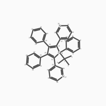 CC(C)(C)[Si]1(c2ccccc2)C(c2cccnc2)=C(c2ccccc2)C(c2ccccc2)=C1c1cccnc1